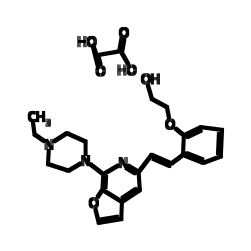 CCN1CCN(c2nc(C=Cc3ccccc3OCCO)cc3ccoc23)CC1.O=C(O)C(=O)O